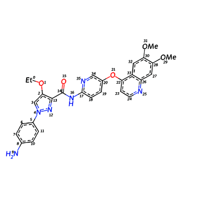 CCOc1cn(-c2ccc(N)cc2)nc1C(=O)Nc1ccc(Oc2ccnc3cc(OC)c(OC)cc23)cn1